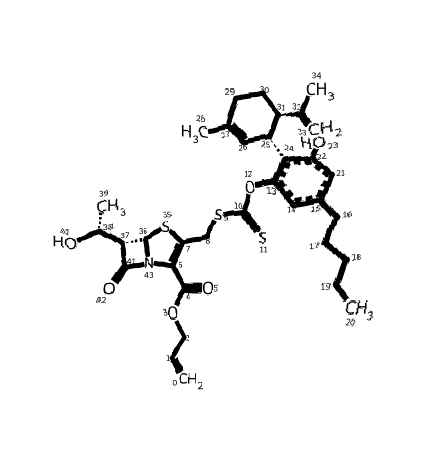 C=CCOC(=O)C1=C(CSC(=S)Oc2cc(CCCCC)cc(O)c2[C@@H]2C=C(C)CC[C@H]2C(=C)C)SC2[C@@H]([C@@H](C)O)C(=O)N12